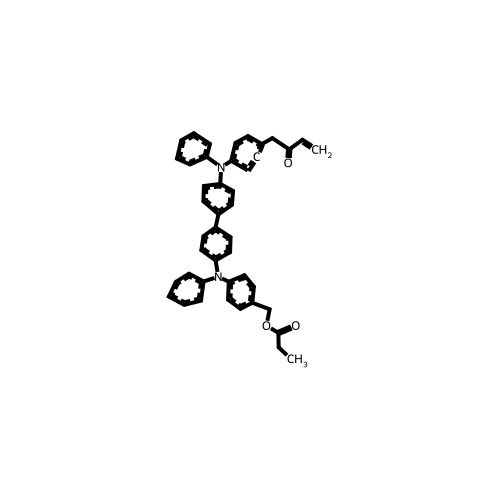 C=CC(=O)Cc1ccc(N(c2ccccc2)c2ccc(-c3ccc(N(c4ccccc4)c4ccc(COC(=O)CC)cc4)cc3)cc2)cc1